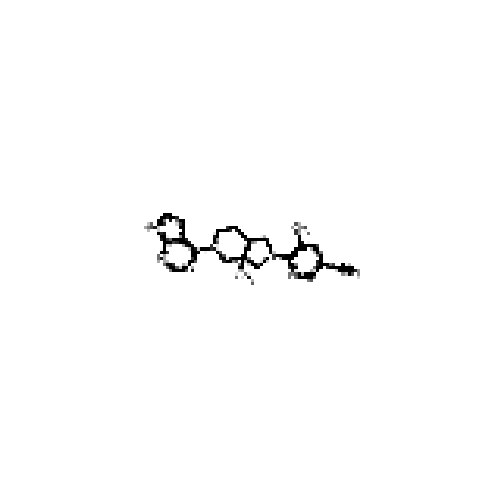 Cc1cc(C#N)cnc1N1CC2CCN(c3ncnc4[nH]ccc34)CC2(C)C1